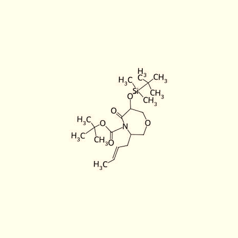 CC=CCC1COCC(O[Si](C)(C)C(C)(C)C)C(=O)N1C(=O)OC(C)(C)C